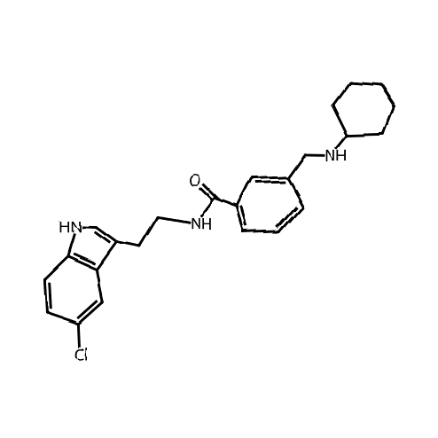 O=C(NCCc1c[nH]c2ccc(Cl)cc12)c1cccc(CNC2CCCCC2)c1